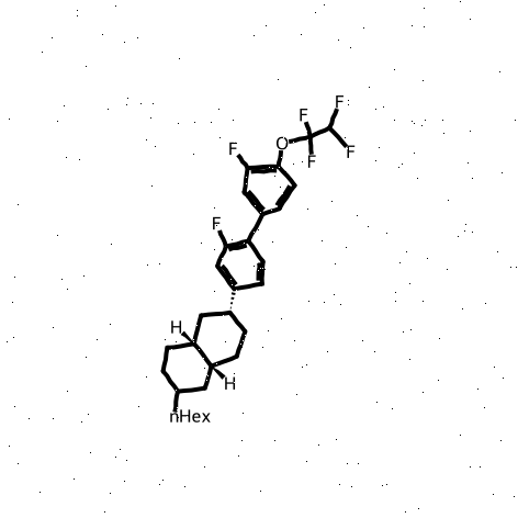 CCCCCCC1CC[C@@H]2C[C@H](c3ccc(-c4ccc(OC(F)(F)C(F)F)c(F)c4)c(F)c3)CC[C@@H]2C1